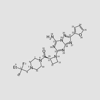 CCC(F)(F)CN1CCN(C(=O)[C@@H]2CCN2c2nc(N)n3nc(-c4ccco4)nc3n2)CC1